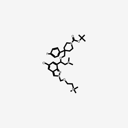 CN(C)CC(OCC1(c2ccc(F)cc2)CCN(C(=O)OC(C)(C)C)CC1)c1cc(Cl)cc2cn(COCC[Si](C)(C)C)nc12